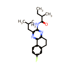 CCC(C)C(=O)Nc1nc2c(nc1CC(C)C)-c1ccc(F)cc1CC2